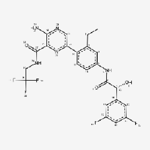 CCc1cc(NC(=O)[C@H](O)c2cc(F)cc(F)c2)ccc1-c1cnc(N)c(C(=O)NCC(F)(F)F)n1